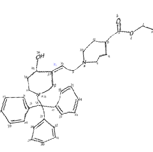 CCOC(=O)C1CCN(C/C=C2\CN(C(c3ccccc3)(c3ccccc3)c3ccccc3)CCC2O)CC1